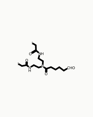 O=CCCCCC(=O)N(CCNC(=O)CI)CCNC(=O)CI